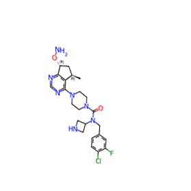 C[C@@H]1C[C@@H](ON)c2ncnc(N3CCN(C(=O)N(Cc4ccc(Cl)c(F)c4)C4CNC4)CC3)c21